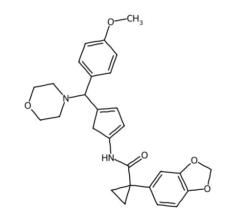 COc1ccc(C(C2=CC=C(NC(=O)C3(c4ccc5c(c4)OCO5)CC3)C2)N2CCOCC2)cc1